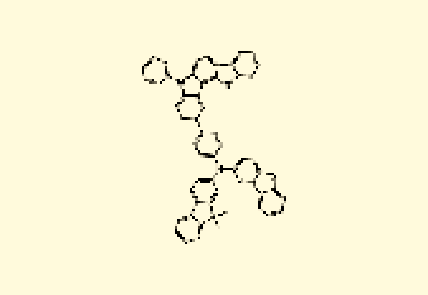 CC1(C)c2ccccc2-c2ccc(N(c3ccc(-c4ccc5c(c4)c4c6sc7ccccc7c6ccc4n5-c4ccccc4)cc3)c3ccc4sc5ccccc5c4c3)cc21